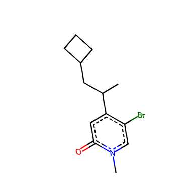 CC(CC1CCC1)c1cc(=O)n(C)cc1Br